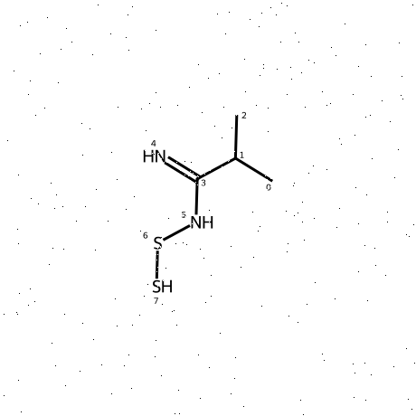 CC(C)C(=N)NSS